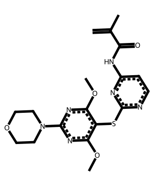 C=C(C)C(=O)Nc1ccnc(Sc2c(OC)nc(N3CCOCC3)nc2OC)n1